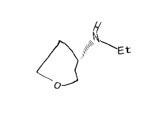 CCN[C@H]1CCOC1